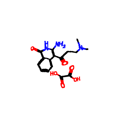 CN(C)CCC(=O)c1c(N)[nH]c(=O)c2ccccc12.O=C(O)C(=O)O